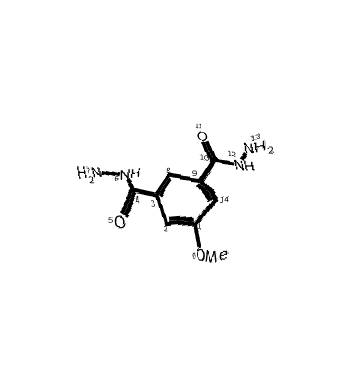 COc1cc(C(=O)NN)cc(C(=O)NN)c1